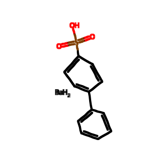 O=S(=O)(O)c1ccc(-c2ccccc2)cc1.[BaH2]